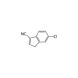 N#CC1=CCc2cc(Cl)ccc21